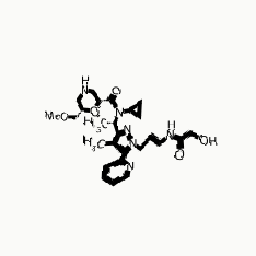 COC[C@@H]1CNC[C@H](C(=O)N(C2CC2)[C@@H](C)c2nn(CCCNC(=O)CO)c(-c3ccccn3)c2C)O1